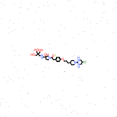 O=C(Cc1ccc(OCCCC2CCN(C3NCC(Cl)CN3)CC2)cc1F)N1CCC(O)(CNCC(CO)(CO)CO)C1